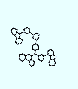 c1cc(-c2ccc(N(c3cccc(-c4cccc5oc6ccccc6c45)c3)c3cc4ccccc4c4ccccc34)cc2)cc(-c2cccc(-n3c4ccccc4c4ccccc43)c2)c1